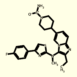 CCc1nc2ccc(C3CCN([S+](N)[O-])CC3)cn2c1N(C)c1nc(-c2ccc(F)cc2)cs1